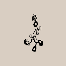 O=C(Nc1nc(-c2ccc(-n3ccnn3)cc2)c(Cl)s1)N(CC=C(c1ccccc1)c1ccccc1)CCc1ncccn1